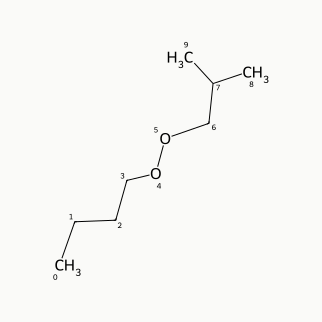 CCCCOOCC(C)C